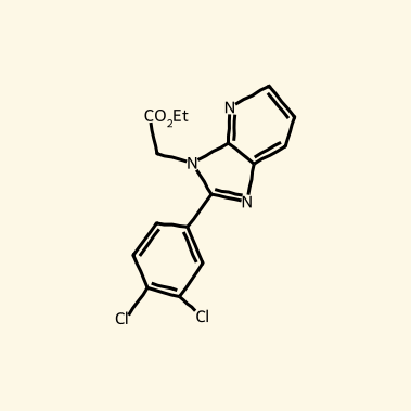 CCOC(=O)Cn1c(-c2ccc(Cl)c(Cl)c2)nc2cccnc21